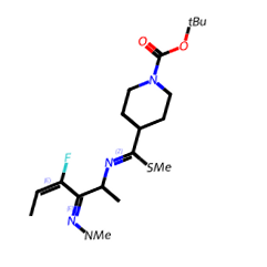 C/C=C(F)\C(=N\NC)C(C)/N=C(\SC)C1CCN(C(=O)OC(C)(C)C)CC1